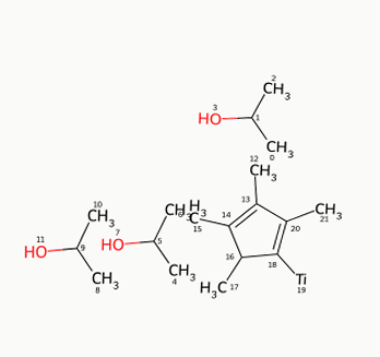 CC(C)O.CC(C)O.CC(C)O.CC1=C(C)C(C)[C]([Ti])=C1C